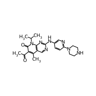 CC(=O)c1c(C)c2cnc(Nc3ccc(N4CCNCC4)nc3)nc2n(C(C)C)c1=O